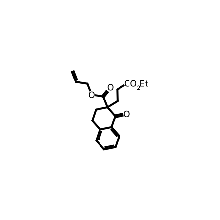 C=CCOC(=O)C1(CCC(=O)OCC)CCc2ccccc2C1=O